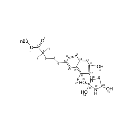 CCCCOC(=O)C(C)(C)CCCc1ccc2cc(O)c(N3CC(O)NS3(O)O)c(F)c2c1